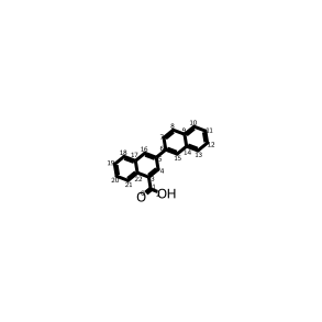 O=C(O)c1cc(-c2ccc3ccccc3c2)cc2ccccc12